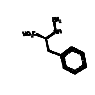 O=C(O)[C@H](Cc1ccccc1)NP